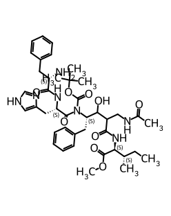 CC[C@H](C)[C@H](NC(=O)C(CNC(C)=O)C(O)[C@H](Cc1ccccc1)N(C(=O)OC(C)(C)C)C(=O)[C@H](Cc1c[nH]cn1)NC(=O)[C@@H](N)Cc1ccccc1)C(=O)OC